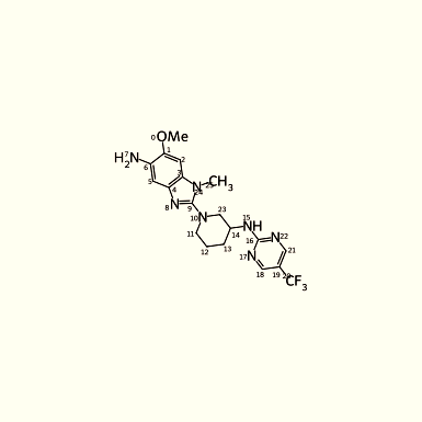 COc1cc2c(cc1N)nc(N1CCCC(Nc3ncc(C(F)(F)F)cn3)C1)n2C